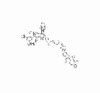 O=C1CC[C@H](N2Cc3cc(N4CCN(CC5CCN(CC6(COc7nc(N8CC9CCC(C8)N9)c8cnc(-c9cc(O)cc(Cl)c9C9CC9)c(F)c8n7)CC6)CC5)CC4)ccc3C2=O)C(=O)N1